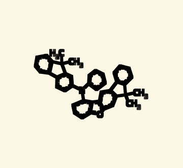 CC1(C)c2ccccc2-c2ccc(N(c3ccccc3)c3cccc4oc5cc6c(cc5c34)-c3ccccc3C6(C)C)cc21